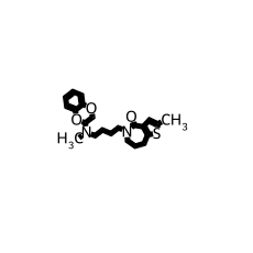 Cc1cc2c(s1)CCCN(CCCCN(C)C1COc3ccccc3O1)C2=O